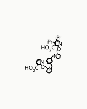 CC(C)c1cnc(OC[C@@H]2CCCN2Cc2cccc(CN3CCC[C@H]3COc3ncccc3C(=O)O)c2)c(C(=O)O)c1C(C)C